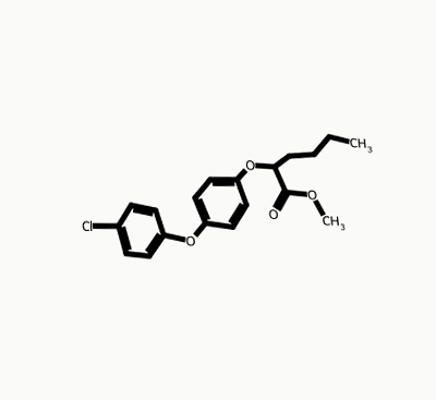 CCCCC(Oc1ccc(Oc2ccc(Cl)cc2)cc1)C(=O)OC